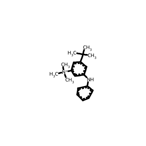 CC(C)(C)c1cc(Nc2ccccc2)cc([N+](C)(C)C)c1